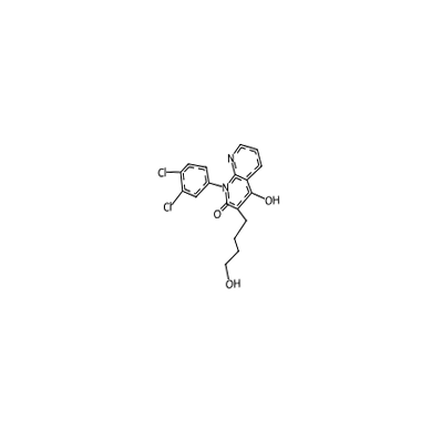 O=c1c(CCCCO)c(O)c2cccnc2n1-c1ccc(Cl)c(Cl)c1